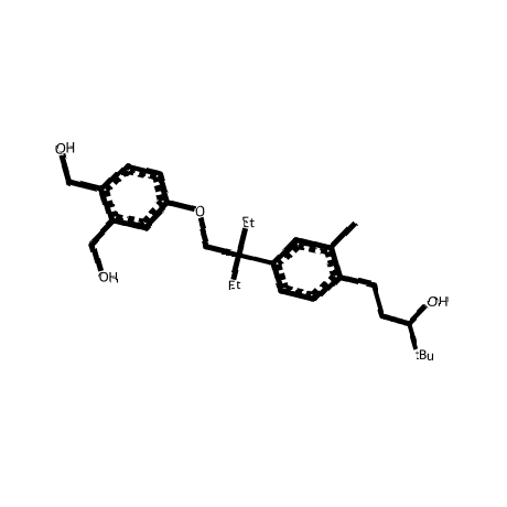 CCC(CC)(COc1ccc(CO)c(CO)c1)c1ccc(CCC(O)C(C)(C)C)c(C)c1